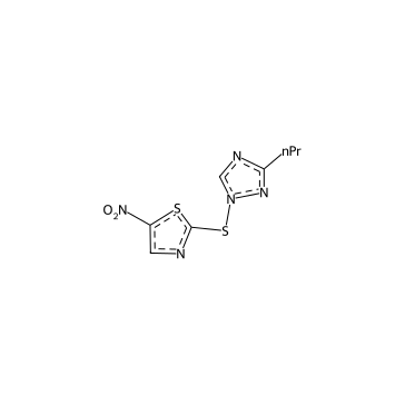 CCCc1ncn(Sc2ncc([N+](=O)[O-])s2)n1